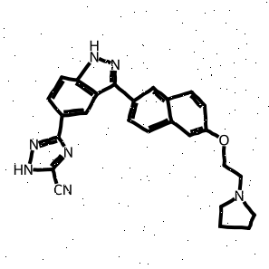 N#Cc1nc(-c2ccc3[nH]nc(-c4ccc5cc(OCCN6CCCC6)ccc5c4)c3c2)n[nH]1